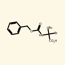 CCCCC(Br)(NC(=O)OCc1ccccc1)C(=O)O